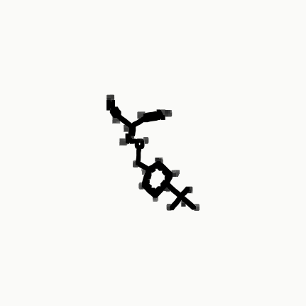 CC(C)(C)c1ccc(CON=C(C#N)C#N)cc1